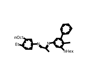 CCCCCCCCc1cc(N=CC(C)=Nc2cc(CCCCCC)c(C)c(-c3ccccc3)c2)ccc1CC